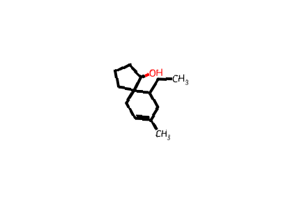 CCC1CC(C)=CCC12CCCC2O